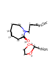 CCCCCCCCCC1OCCO1.CCCCCCCCCCCCN1CCCCCC1=O